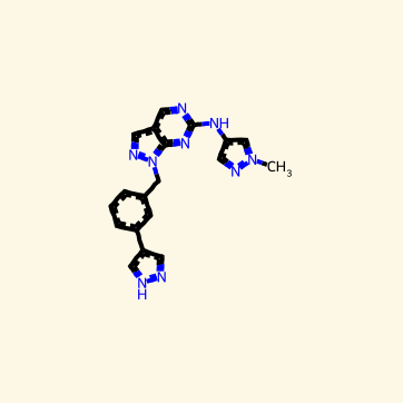 Cn1cc(Nc2ncc3cnn(Cc4cccc(-c5cn[nH]c5)c4)c3n2)cn1